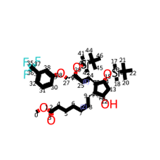 COC(=O)CCC/C=C\C[C@H]1[C@@H](O)CC(O[Si](C)(C)C(C)(C)C)[C@@H]1/C=C/[C@H](COc1cccc(C(F)(F)F)c1)O[Si](C)(C)C(C)(C)C